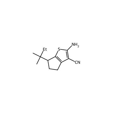 CCC(C)(C)C1CCc2c1sc(N)c2C#N